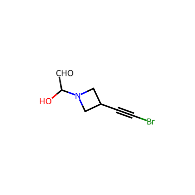 O=CC(O)N1CC(C#CBr)C1